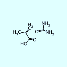 C=C(C)C(=O)O.NC(N)=O